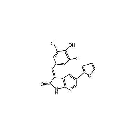 O=C1Nc2ncc(-c3ccco3)cc2/C1=C\c1cc(Cl)c(O)c(Cl)c1